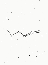 CC(C)CN=C=O